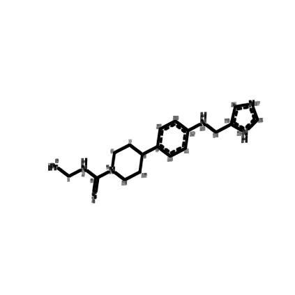 CC(C)CNC(=S)N1CCC(c2ccc(NCc3cnc[nH]3)cc2)CC1